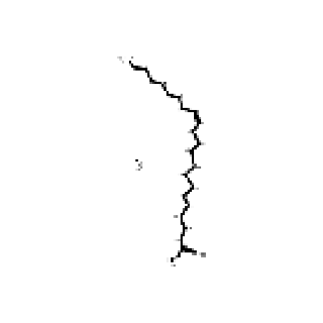 CCCCCCCC/C=C\CCCCCCCCCCCC(=O)O.[Ag]